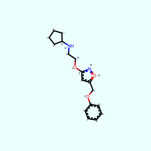 c1ccc(OCc2cc(OCCNC3CCCC3)no2)cc1